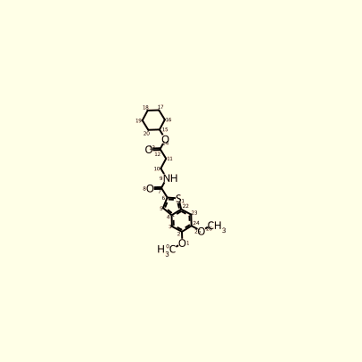 COc1cc2cc(C(=O)NCCC(=O)OC3CCCCC3)sc2cc1OC